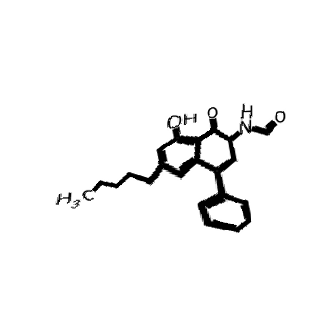 CCCCCc1cc(O)c2c(c1)C(c1ccccc1)CC(NC=O)C2=O